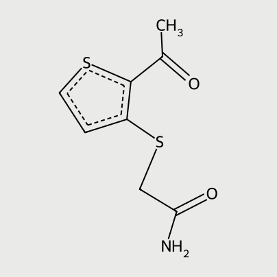 CC(=O)c1sccc1SCC(N)=O